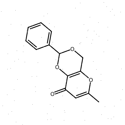 Cc1cc(=O)c2c(o1)COC(c1ccccc1)O2